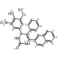 CCOc1cc(C2NC(=O)NC(c3ccc4ncccc4c3)=C2c2ccccc2)cc([N+](=O)[O-])c1O